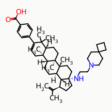 C=C(C)[C@@H]1CC[C@]2(NCCN3CCC4(CCC4)CC3)CC[C@]3(C)[C@H](CC[C@@H]4[C@@]5(C)CC=C(c6ccc(C(=O)O)cc6)C(C)(C)[C@@H]5CC[C@]43C)[C@@H]12